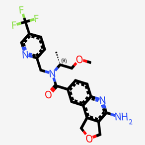 COC[C@@H](C)N(Cc1ccc(C(F)(F)F)cn1)C(=O)c1ccc2nc(N)c3c(c2c1)COC3